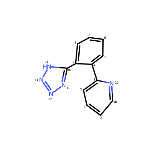 [c]1ccc(-c2ccccc2-c2nnn[nH]2)nc1